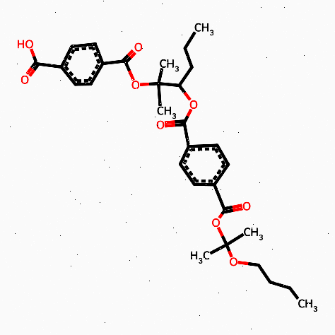 CCCCOC(C)(C)OC(=O)c1ccc(C(=O)OC(CCC)C(C)(C)OC(=O)c2ccc(C(=O)O)cc2)cc1